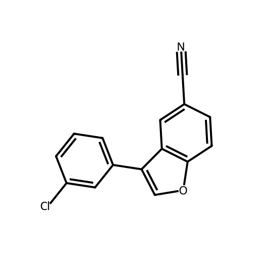 N#Cc1ccc2occ(-c3cccc(Cl)c3)c2c1